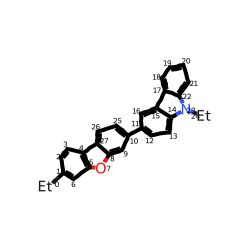 CCc1ccc2c(c1)oc1cc(-c3ccc4c(c3)c3ccccc3n4CC)ccc12